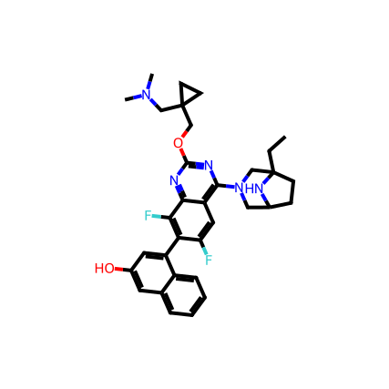 CCC12CCC(CN(c3nc(OCC4(CN(C)C)CC4)nc4c(F)c(-c5cc(O)cc6ccccc56)c(F)cc34)C1)N2